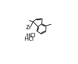 Cc1cccc2c1C=C[C]2(C)[Zr].Cl.Cl